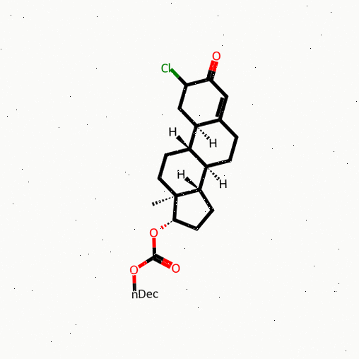 CCCCCCCCCCOC(=O)O[C@H]1CC[C@H]2[C@@H]3CCC4=CC(=O)C(Cl)C[C@@H]4[C@H]3CC[C@]12C